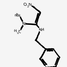 CCCCN(C)C(=C[N+](=O)[O-])NCc1cccnc1